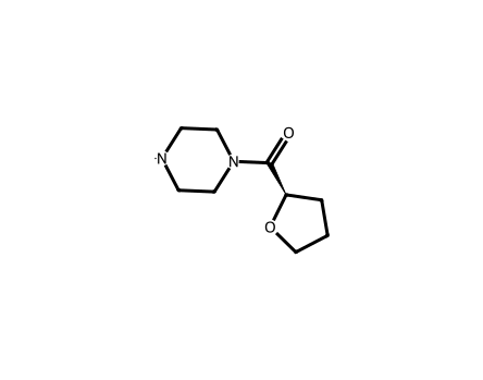 O=C([C@H]1CCCO1)N1CC[N]CC1